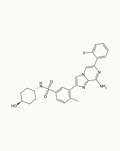 Cc1ccc(S(=O)(=O)N[C@H]2CC[C@H](O)CC2)cc1-c1cn2cc(-c3ccccc3F)nc(N)c2n1